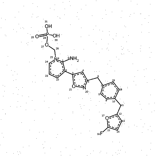 Nc1c(-c2cc(Cc3ccc(Cc4ccc(F)o4)cc3)no2)ccc[n+]1COP(=O)(O)O